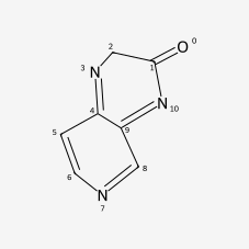 O=C1CN=c2ccncc2=N1